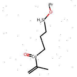 C=[C](C)[Co](=[O])[CH2]CC[SiH2]OC(C)C